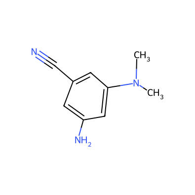 CN(C)c1cc(N)cc(C#N)c1